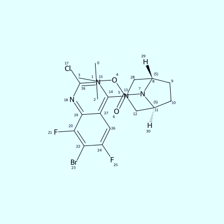 CC(C)(C)OC(=O)N1[C@H]2CC[C@H]1CN(c1nc(Cl)nc3c(F)c(Br)c(F)cc13)C2